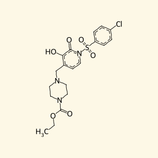 CCOC(=O)N1CCN(Cc2ccn(S(=O)(=O)c3ccc(Cl)cc3)c(=O)c2O)CC1